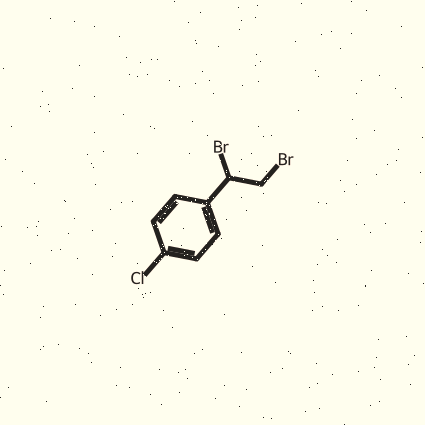 Clc1ccc(C(Br)CBr)cc1